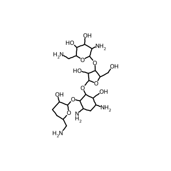 NCC1CCC(O)C(OC2C(N)CC(N)C(O)C2OC2OC(CO)C(OC3OC(CN)C(O)C(O)C3N)C2O)O1